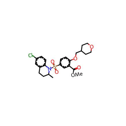 COC(=O)c1cc(S(=O)(=O)N2c3ccc(Cl)cc3CCC2C)ccc1OCC1CCOCC1